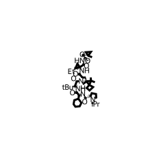 CC[C@@H]1C[C@]1(NC(=O)C1C[C@@]2(CN1C(=O)[C@@H](NC(=O)[C@@H](NC(=O)[C@@H]1CCCN1C(C)C)C1CCCCC1)C(C)(C)C)C(C)(C)C21CCC1)C(=O)NS(=O)(=O)C1(C)CC1